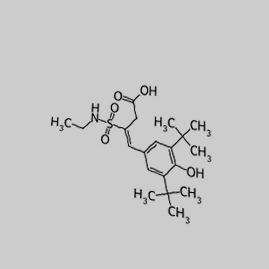 CCNS(=O)(=O)/C(=C/c1cc(C(C)(C)C)c(O)c(C(C)(C)C)c1)CC(=O)O